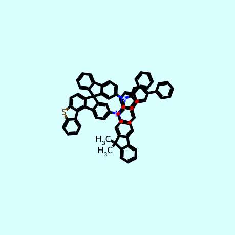 CC1(C)c2ccccc2-c2ccc(N(c3ccc(-c4ccccc4)cc3)c3ccc4c(c3)C3(c5ccccc5-c5ccc(-n6c7ccccc7c7cc(-c8ccccc8)ccc76)cc53)c3ccc5sc6ccccc6c5c3-4)cc21